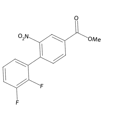 COC(=O)c1ccc(-c2cccc(F)c2F)c([N+](=O)[O-])c1